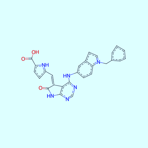 O=C1Nc2ncnc(Nc3ccc4c(ccn4Cc4ccccc4)c3)c2C1=Cc1ccc(C(=O)O)[nH]1